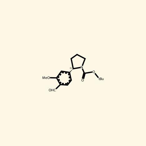 COc1cc([C@@H]2CCCN2C(=O)OC(C)(C)C)ccc1C=O